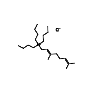 CCCC[N+](C/C=C(\C)CCC=C(C)C)(CCCC)CCCC.[Cl-]